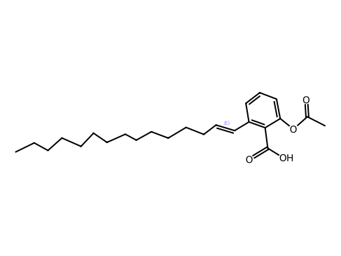 CCCCCCCCCCCCC/C=C/c1cccc(OC(C)=O)c1C(=O)O